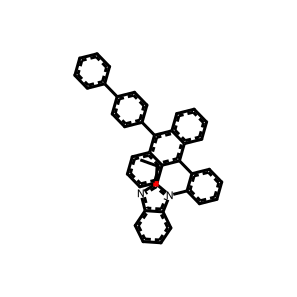 CCc1nc2ccccc2n1-c1ccccc1-c1c2ccccc2c(-c2ccc(-c3ccccc3)cc2)c2ccccc12